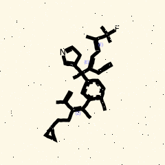 C=C/C(=C\C=C(/C)C(C)(C)F)C(C)(C1=CN=CC1)c1ccc(C)c(/C(C)=C(/CCC2CC2)C(=C)C)c1